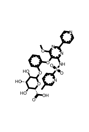 COc1nc(-c2ccncc2)nc(NS(=O)(=O)c2ccc(C)cn2)c1Oc1ccccc1OC1O[C@H](C(=O)O)[C@@H](O)[C@H](O)[C@H]1O